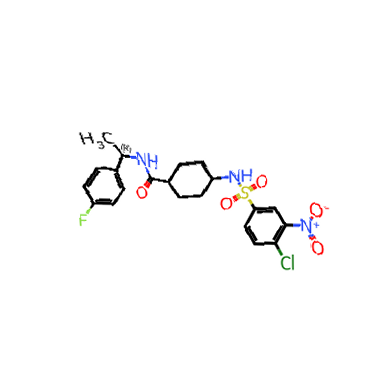 C[C@@H](NC(=O)C1CCC(NS(=O)(=O)c2ccc(Cl)c([N+](=O)[O-])c2)CC1)c1ccc(F)cc1